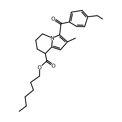 CCCCCCOC(=O)C1CCCn2c1cc(C)c2C(=O)c1ccc(CC)cc1